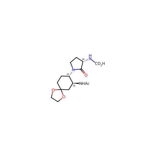 CC(=O)N[C@H]1CC2(CC[C@@H]1N1CC[C@H](NC(=O)O)C1=O)OCCO2